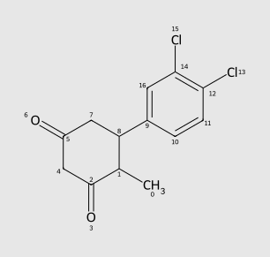 CC1C(=O)CC(=O)CC1c1ccc(Cl)c(Cl)c1